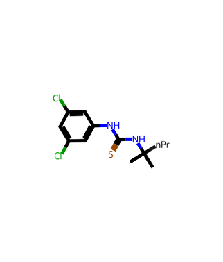 CCCC(C)(C)NC(=S)Nc1cc(Cl)cc(Cl)c1